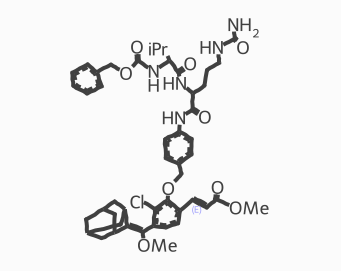 COC(=O)/C=C/c1ccc(C(OC)=C2C3CC4CC(C3)CC2C4)c(Cl)c1OCc1ccc(NC(=O)C(CCCNC(N)=O)NC(=O)C(NC(=O)OCc2ccccc2)C(C)C)cc1